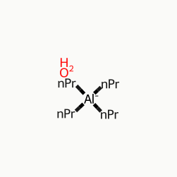 CC[CH2][Al-]([CH2]CC)([CH2]CC)[CH2]CC.O